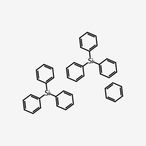 c1ccc([Si](c2ccccc2)c2ccccc2)cc1.c1ccc([Si](c2ccccc2)c2ccccc2)cc1.c1ccccc1